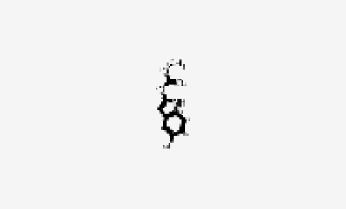 COC(=O)Oc1cc2cc(F)ccc2[nH]1